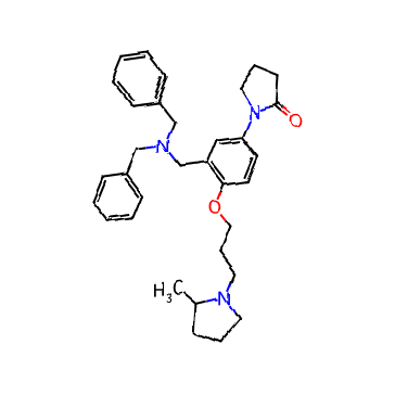 CC1CCCN1CCCOc1ccc(N2CCCC2=O)cc1CN(Cc1ccccc1)Cc1ccccc1